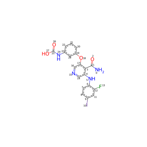 NC(=O)c1c(Nc2ccc(I)cc2F)cncc1Oc1cccc(NC(=O)O)c1